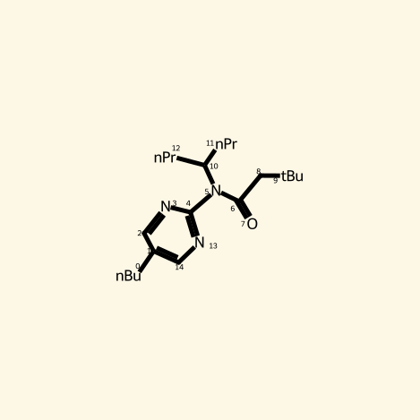 CCCCc1cnc(N(C(=O)CC(C)(C)C)C(CCC)CCC)nc1